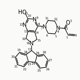 C=CC(=O)N1CCN(c2nc(O)nc3c2CN(C2c4ccccc4-c4ccccc42)C3)CC1